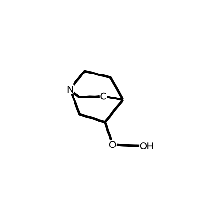 OOC1CN2CCC1CC2